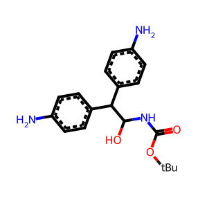 CC(C)(C)OC(=O)NC(O)C(c1ccc(N)cc1)c1ccc(N)cc1